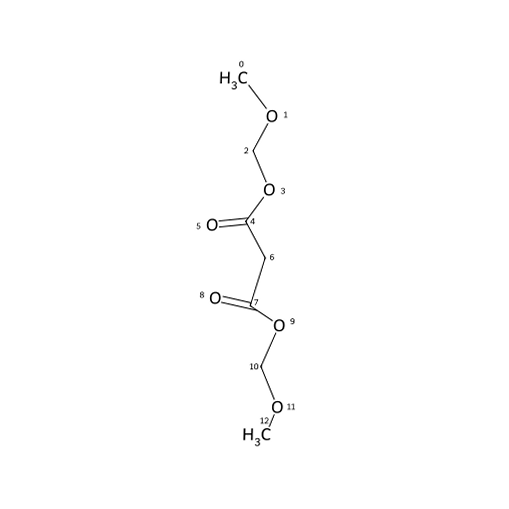 COCOC(=O)CC(=O)OCOC